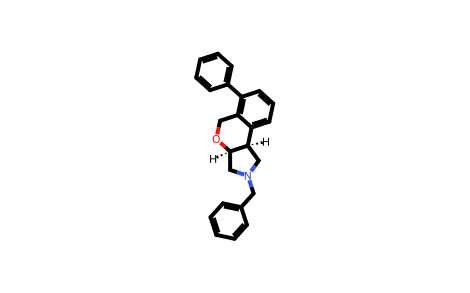 c1ccc(CN2C[C@@H]3c4cccc(-c5ccccc5)c4CO[C@@H]3C2)cc1